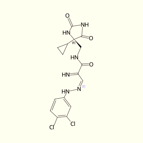 N=C(/C=N\Nc1ccc(Cl)c(Cl)c1)C(=O)NC[C@@]1(C2CC2)NC(=O)NC1=O